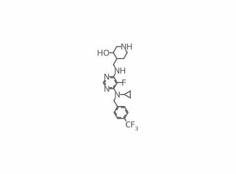 OC1CNCCC1CNc1ncnc(N(Cc2ccc(C(F)(F)F)cc2)C2CC2)c1F